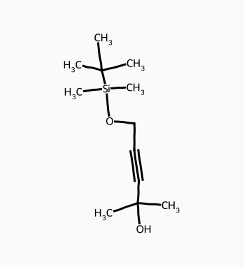 CC(C)(O)C#CCO[Si](C)(C)C(C)(C)C